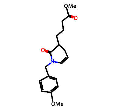 COC(=O)CCCC1CC=CN(Cc2ccc(OC)cc2)C1=O